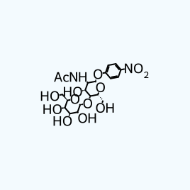 CC(=O)N[C@H]1[C@H](Oc2ccc([N+](=O)[O-])cc2)O[C@H](CO)[C@@H](O[C@@H]2O[C@H](CO)[C@H](O)[C@H](O)[C@H]2O)[C@@H]1O